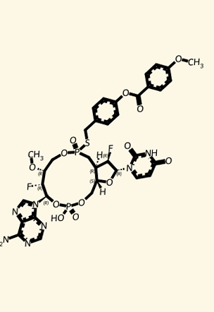 COc1ccc(C(=O)Oc2ccc(CSP3(=O)C[C@H]4[C@@H](F)[C@H](n5ccc(=O)[nH]c5=O)O[C@@H]4COP(=O)(O)O[C@@H](n4cnc5c(N)ncnc54)[C@H](F)[C@H](OC)CO3)cc2)cc1